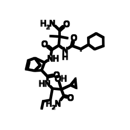 CCCC(NC(=O)C1C2C=CC(C2)C1NC(=O)C(NC(=O)[CH]C1CCCCC1)C(C)(C)C(N)=O)C(O)(C(N)=O)C1CC1